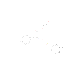 COCCOC(=O)C(=NOS(=O)(=O)c1ccc(C)cc1)c1ccc(SC)cc1